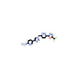 Nc1ccc(-c2cn(Cc3ccc(-c4nnc(C(F)F)o4)nn3)nn2)cn1